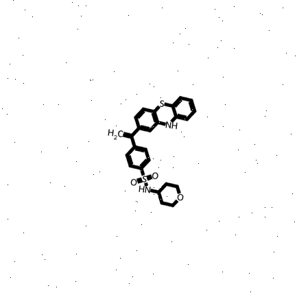 C=C(c1ccc(S(=O)(=O)NC2CCOCC2)cc1)c1ccc2c(c1)Nc1ccccc1S2